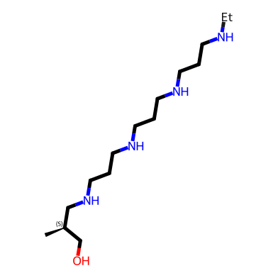 CCNCCCNCCCNCCCNC[C@H](C)CO